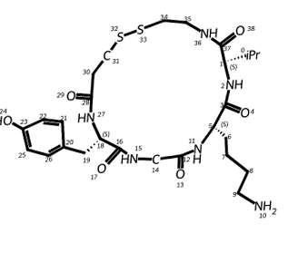 CC(C)[C@@H]1NC(=O)[C@H](CCCCN)NC(=O)CNC(=O)[C@H](Cc2ccc(O)cc2)NC(=O)CCSSCCNC1=O